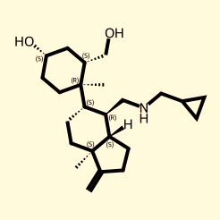 C=C1CC[C@H]2[C@H](CNCC3CC3)[C@@H]([C@@]3(C)CC[C@H](O)C[C@@H]3CO)CC[C@]12C